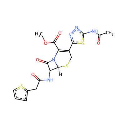 COC(=O)C1=C(c2nnc(NC(C)=O)s2)CS[C@H]2C(NC(=O)Cc3cccs3)C(=O)N12